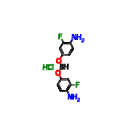 Cl.Nc1ccc(OBOc2ccc(N)c(F)c2)cc1F